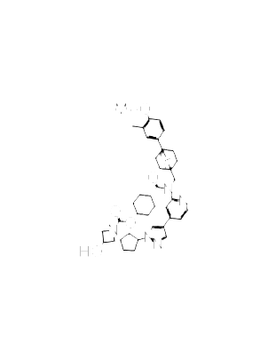 COc1ccc(C23CCC(CN(c4cc(-c5cnn(C6CCCC6)c5)ccn4)C(=O)[C@H]4CC[C@H](OC(=O)N5CC(O)C5)CC4)(CC2)CC3)cc1C